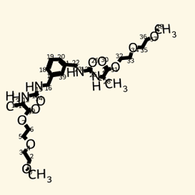 COCCOCCOC(=O)C(C)NC(=O)NCc1cccc(CNC(=O)NC(C)C(=O)OCCOCCOC)c1